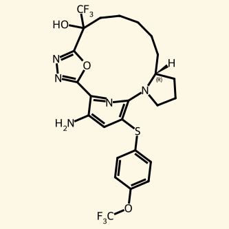 Nc1cc(Sc2ccc(OC(F)(F)F)cc2)c2nc1-c1nnc(o1)C(O)(C(F)(F)F)CCCCC[C@@H]1CCCN21